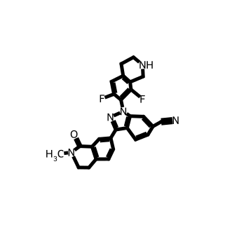 CN1CCc2ccc(-c3nn(-c4c(F)cc5c(c4F)CNCC5)c4cc(C#N)ccc34)cc2C1=O